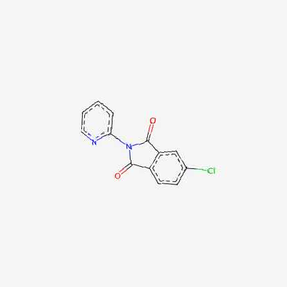 O=C1c2ccc(Cl)cc2C(=O)N1c1ccccn1